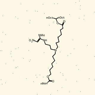 CCCCCCCCCC(=O)OCCCCCCCN(CCCCCCCC(=O)OC(CCCCCCCC)CCCCCCCC)CCCNC(=C[N+](=O)[O-])NC